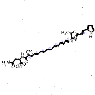 C\C(=C/C=C/C=C/C=C/C=C/C=C/C=C/[C@H]1N=C(/C=C/c2ccc[nH]2)O[C@@H]1C)C(=O)NC(CC(N)=O)C(=O)O